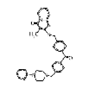 Cc1c(SCc2ccc(C(=O)c3ccc(CN4CCN(c5ccccc5)CC4)cc3)cc2)nc2ccccn2c1=O